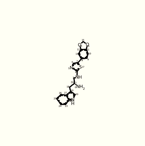 N[C@H](CNc1ncc(-c2ccc3c(c2)OCO3)s1)Cc1c[nH]c2ccccc12